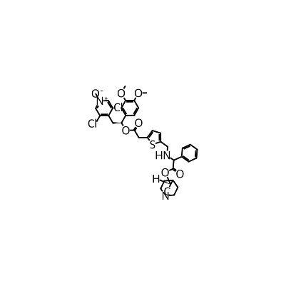 COc1ccc([C@H](Cc2c(Cl)c[n+]([O-])cc2Cl)OC(=O)Cc2ccc(CNC(C(=O)O[C@H]3CN4CCC3CC4)c3ccccc3)s2)cc1OC